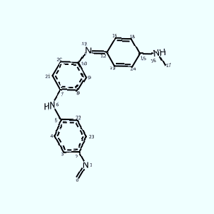 C=Nc1ccc(Nc2ccc(N=C3C=CC(NC)C=C3)cc2)cc1